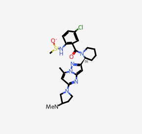 CNC1CCN(c2cc(C)n3nc([C@@H]4CCCCN4C(=O)c4cc(Cl)ccc4N[S+](C)[O-])cc3n2)C1